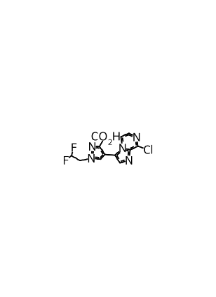 O=C(O)c1nn(CC(F)F)cc1-c1cnc2c(Cl)nccn12